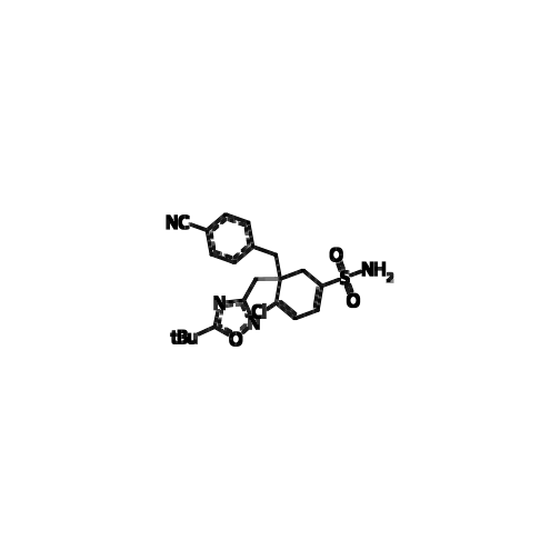 CC(C)(C)c1nc(CC2(Cc3ccc(C#N)cc3)CC(S(N)(=O)=O)=CC=C2Cl)no1